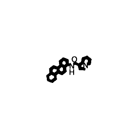 O=C(Nc1cccc2c1ccc1c3c(ccc12)CCC=C3)c1ccn2ccccc12